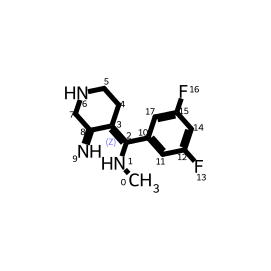 CN/C(=C1/CCNCC1=N)c1cc(F)cc(F)c1